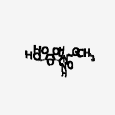 COCCn1c(=O)[nH]cc([C@@H]2O[C@H](CO)[C@@H](O)[C@H]2O)c1=O